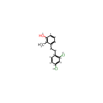 Cc1c(O)cccc1CCc1ccc(Cl)cc1Cl